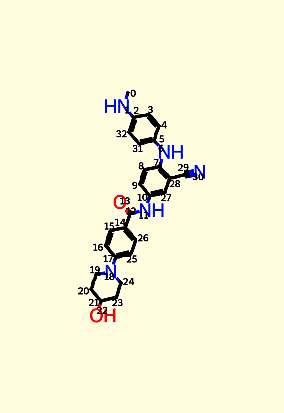 CNc1ccc(Nc2ccc(NC(=O)c3ccc(N4CCC(O)CC4)cc3)cc2C#N)cc1